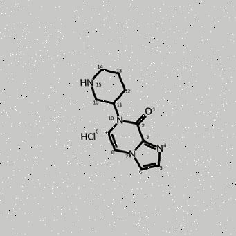 Cl.O=c1c2nccn2ccn1C1CCCNC1